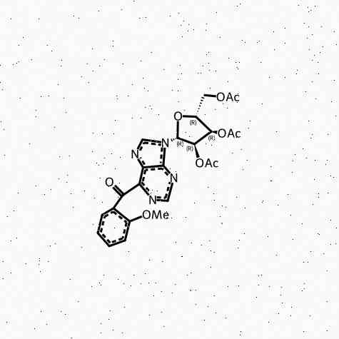 COc1ccccc1C(=O)c1ncnc2c1ncn2[C@@H]1O[C@H](COC(C)=O)[C@@H](OC(C)=O)[C@H]1OC(C)=O